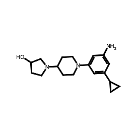 Nc1cc(C2CC2)cc(N2CCC(N3CCC(O)C3)CC2)c1